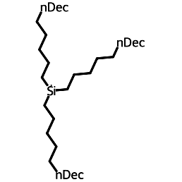 CCCCCCCCCCCCCCC[Si](CCCCCCCCCCCCCCC)CCCCCCCCCCCCCCC